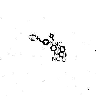 CN(c1c(C#N)c(=O)n(C)c2ccc(C#N)nc12)C1CCC(N(CC2CCC2)c2ccc(CCN3CCOCC3)cc2)CC1